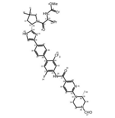 COC(=O)N[C@H](C(=O)N1CC(C)(C)C[C@H]1c1nc(-c2ccc(-c3cc(F)c(NC(=O)c4ccc(N5CCN(C=O)C[C@H]5C)nc4)cc3C(F)(F)F)cc2)c[nH]1)C(C)C